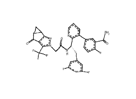 NC(=O)c1cc(-c2cccnc2[C@H](Cc2cc(F)cc(F)c2)NC(=O)Cn2nc3c(c2C(F)(F)F)C(=O)C2CC32)ccc1F